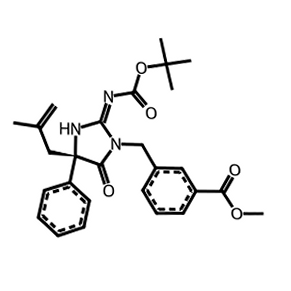 C=C(C)C[C@@]1(c2ccccc2)NC(=NC(=O)OC(C)(C)C)N(Cc2cccc(C(=O)OC)c2)C1=O